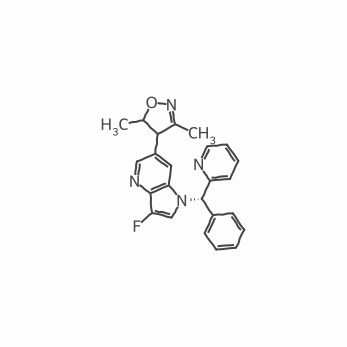 CC1=NOC(C)C1c1cnc2c(F)cn([C@@H](c3ccccc3)c3ccccn3)c2c1